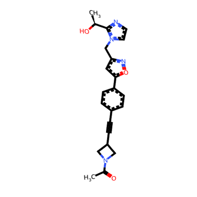 CC(=O)N1CC(C#Cc2ccc(-c3cc(Cn4ccnc4[C@H](C)O)no3)cc2)C1